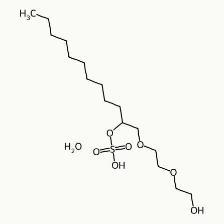 CCCCCCCCCCC(COCCOCCO)OS(=O)(=O)O.O